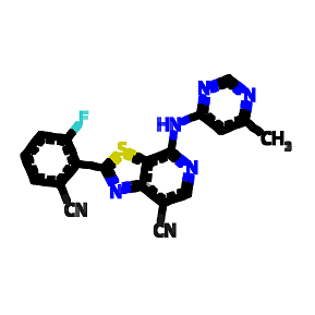 Cc1cc(Nc2ncc(C#N)c3nc(-c4c(F)cccc4C#N)sc23)ncn1